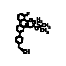 C#CCc1ccc(-c2cccc(N(CC(=O)OC(C)(C)C)C(=O)c3c(F)cccc3F)c2)cc1